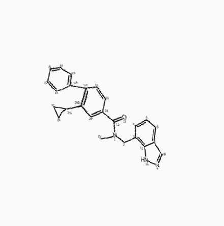 CN(Cc1cccc2cn[nH]c12)C(=O)c1ccc(-c2ccccc2)c(C2CC2)c1